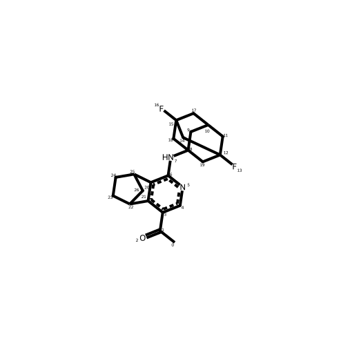 CC(=O)c1cnc(NC23CC4CC(F)(CC(F)(C4)C2)C3)c2c1C1CCC2C1